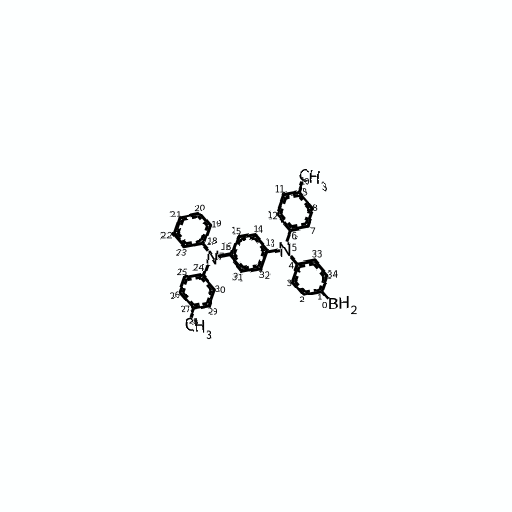 Bc1ccc(N(c2ccc(C)cc2)c2ccc(N(c3ccccc3)c3ccc(C)cc3)cc2)cc1